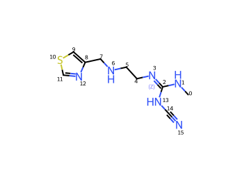 CN/C(=N/CCNCc1cscn1)NC#N